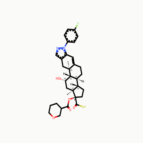 C[C@]12Cc3cnn(-c4ccc(F)cc4)c3C=C1CC[C@@H]1[C@@H]2[C@@H](O)C[C@@]2(C)[C@H]1CC[C@]2(OC(=O)C1CCCOC1)C(=O)S